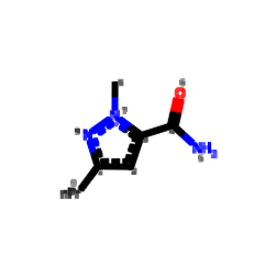 CCCc1cc(C(N)=O)n(C)n1